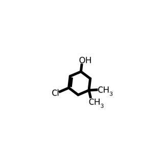 CC1(C)CC(Cl)=CC(O)C1